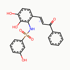 O=C(/C=C/c1ccc(O)c(O)c1NS(=O)(=O)c1cccc(O)c1)c1ccccc1